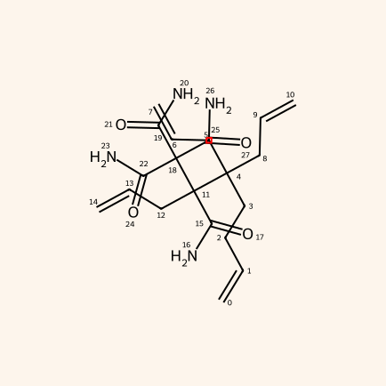 C=CCCC(CC=C)(CC=C)C(CC=C)(C(N)=O)C(C(N)=O)(C(N)=O)C(N)=O